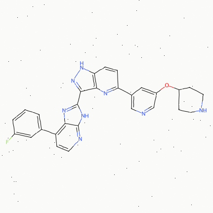 Fc1cccc(-c2ccnc3[nH]c(-c4n[nH]c5ccc(-c6cncc(OC7CCNCC7)c6)nc45)nc23)c1